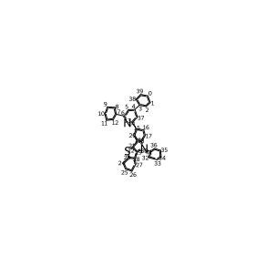 c1ccc(-c2cc(-c3ccccc3)nc(-c3ccc4c(c3)c3sc5ccccc5c3n4-c3ccccc3)c2)cc1